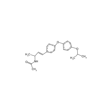 CC(=O)NC(C)C=Cc1ccc(Oc2ccc(OC(C)C)cc2)cc1